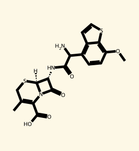 COc1ccc(C(N)C(=O)N[C@@H]2C(=O)N3C(C(=O)O)=C(C)CS[C@@H]23)c2ccsc12